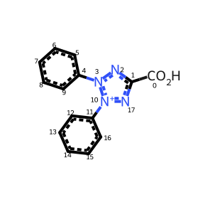 O=C(O)c1nn(-c2ccccc2)[n+](-c2ccccc2)n1